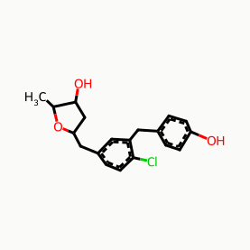 CC1OC(Cc2ccc(Cl)c(Cc3ccc(O)cc3)c2)CC1O